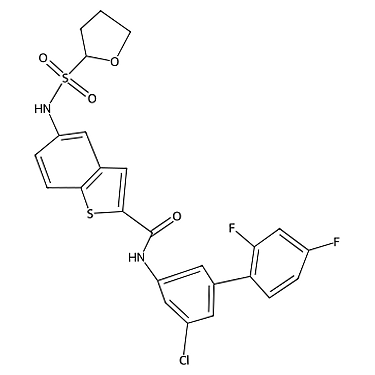 O=C(Nc1cc(Cl)cc(-c2ccc(F)cc2F)c1)c1cc2cc(NS(=O)(=O)C3CCCO3)ccc2s1